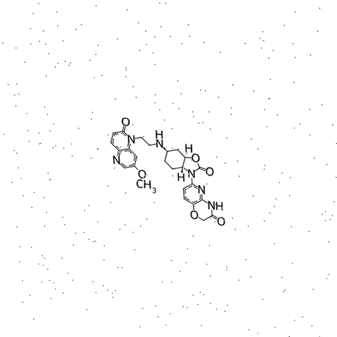 COc1cnc2ccc(=O)n(CCN[C@@H]3CC[C@@H]4[C@@H](C3)OC(=O)N4c3ccc4c(n3)NC(=O)CO4)c2c1